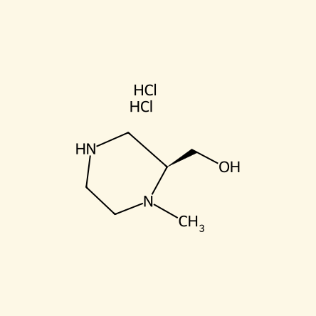 CN1CCNC[C@H]1CO.Cl.Cl